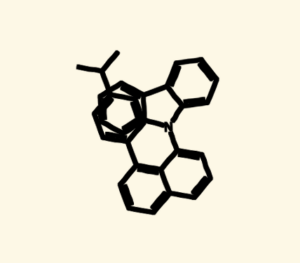 CC(C)c1ccc(-c2cccc3cccc(-n4c5ccccc5c5ccccc54)c23)cc1